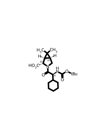 CC(C)(C)OC(=O)N[C@H](C(=O)N1C[C@H]2[C@@H]([C@H]1C(=O)O)C2(C)C)C1CCCCC1